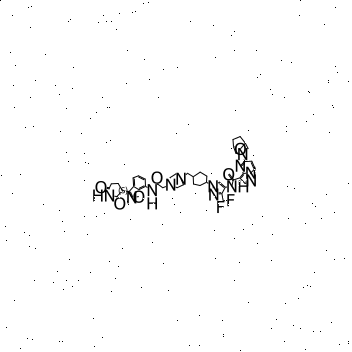 O=C1CC[C@@H](c2noc3c(NC(=O)CN4CCN(CC5CCC(n6cc(NC(=O)c7cnn8ccc(N9CC%10CCC(C9)O%10)nc78)c(C(F)F)n6)CC5)CC4)cccc23)C(=O)N1